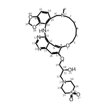 CN1CCCCCOc2cc3c(ncnc3cc2OC[C@@H](O)CN2CCS(=O)(=O)CC2)Nc2c(ccc3c2OCO3)C1